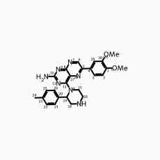 COc1ccc(-c2cnc3nc(N)nc(N4CCNCC4c4ccc(C)cc4)c3n2)cc1OC